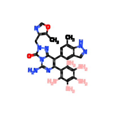 Bc1c(B)c(B)c(-c2nc(N)n3c(=O)n(Cc4ncoc4C)nc3c2-c2cc(C)c3[nH]ncc3c2)c(B)c1B